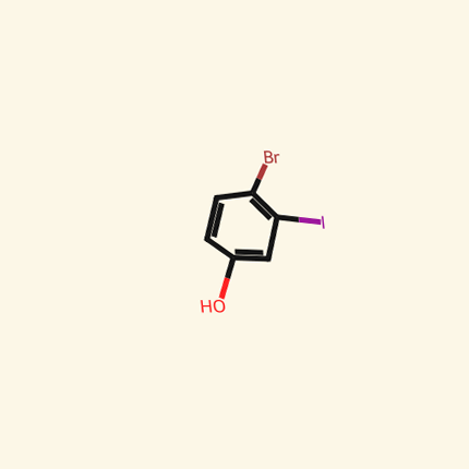 Oc1ccc(Br)c(I)c1